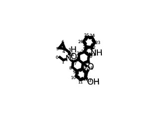 CCN(CC1CC1)C1Cc2ccc(O)c3c2C2(C)C(O3)c3[nH]c4ccccc4c3C[C@@]12O